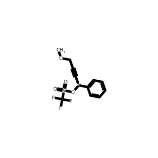 COCC#C[I+](OS(=O)(=O)C(F)(F)F)c1ccccc1